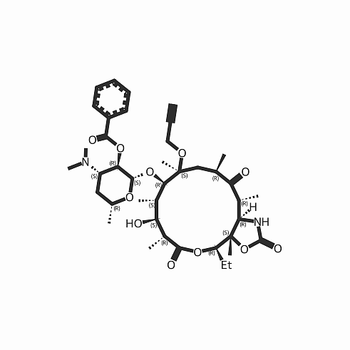 C#CCO[C@@]1(C)C[C@@H](C)C(=O)[C@H](C)[C@H]2NC(=O)O[C@]2(C)[C@@H](CC)OC(=O)[C@H](C)[C@@H](O)[C@H](C)[C@H]1O[C@@H]1O[C@H](C)C[C@H](N(C)C)[C@H]1OC(=O)c1ccccc1